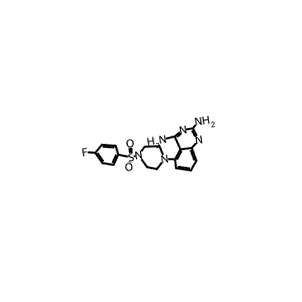 Nc1nc(N)c2c(N3CCN(S(=O)(=O)c4ccc(F)cc4)CC3)cccc2n1